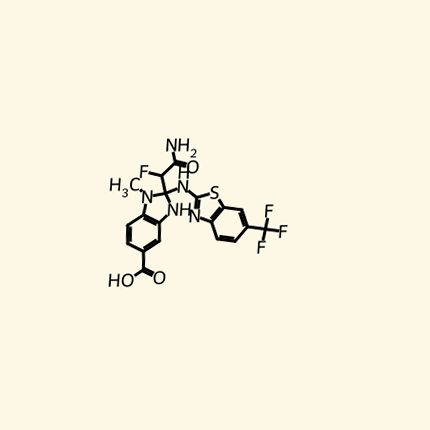 CN1c2ccc(C(=O)O)cc2NC1(Nc1nc2ccc(C(F)(F)F)cc2s1)C(F)C(N)=O